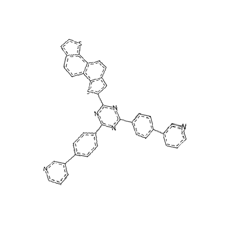 c1cncc(-c2ccc(-c3nc(-c4ccc(-c5cccnc5)cc4)nc(-c4cc5ccc6c(ccc7ccsc76)c5s4)n3)cc2)c1